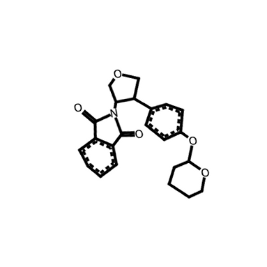 O=C1c2ccccc2C(=O)N1C1COCC1c1ccc(OC2CCCCO2)cc1